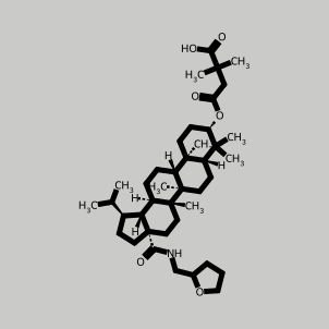 CC(C)[C@@H]1CC[C@]2(C(=O)NCC3CCCO3)CC[C@]3(C)[C@H](CC[C@@H]4[C@@]5(C)CC[C@H](OC(=O)CC(C)(C)C(=O)O)C(C)(C)[C@@H]5CC[C@]43C)[C@@H]12